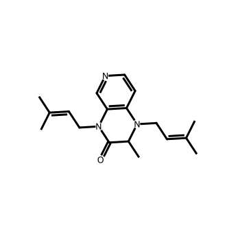 CC(C)=CCN1C(=O)C(C)N(CC=C(C)C)c2ccncc21